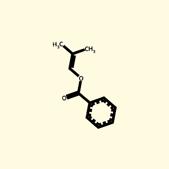 CC(C)=COC(=O)c1ccccc1